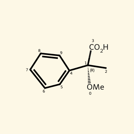 CO[C@@](C)(C(=O)O)c1ccccc1